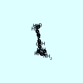 NC(=O)c1ccc(Nc2nc(Nc3ccc(C(=O)NN4CCC(CCN5CCN(c6ccc(NC7CCC(=O)NC7=O)cc6)CC5)CC4)cc3)ncc2F)cc1-c1ccccc1Cl